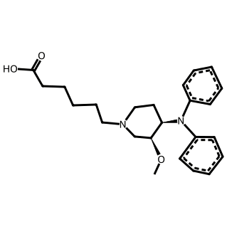 CO[C@H]1CN(CCCCCC(=O)O)CC[C@H]1N(c1ccccc1)c1ccccc1